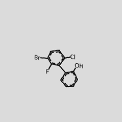 Oc1ccccc1-c1c(Cl)ccc(Br)c1F